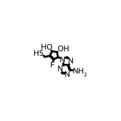 Nc1ncnc2c1ncn2C1C(F)=C(CS)C(O)C1O